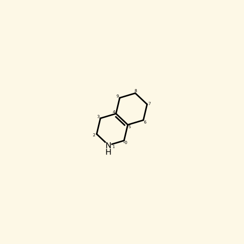 [CH]1NCCC2=C1CCCC2